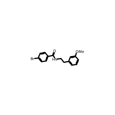 COc1cccc(CCNC(=O)c2ccc(Br)cc2)c1